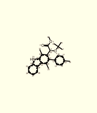 COC(=O)[C@@H](OC(C)(C)C)c1c(-c2ccc(C)cc2)c(C)c2c([nH]c3ccccc32)c1C